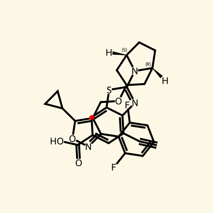 C#Cc1cc(C(=O)O)cc2sc(N3[C@@H]4CC[C@H]3CC(OCc3c(-c5c(F)cccc5F)noc3C3CC3)C4)nc12